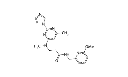 COc1cccc(CNC(=O)CCN(C)c2cc(C)nc(-n3ccnc3)n2)n1